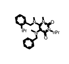 CCCn1c(=O)c(N(C)Cc2ccccc2)c(N(C)Cc2ccccc2C(C)C)n(C)c1=O